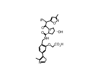 Cc1cc(C(C(=O)N2C[C@H](O)C[C@H]2C(=O)NCc2ccc(-c3scnc3C)cc2OCC(=O)O)C(C)C)on1